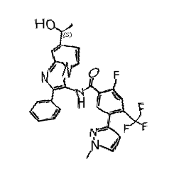 C[C@H](O)c1ccn2c(NC(=O)c3cc(-c4ccn(C)n4)c(C(F)(F)F)cc3F)c(-c3ccccc3)nc2c1